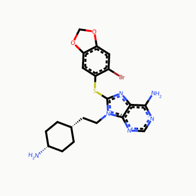 Nc1ncnc2c1nc(Sc1cc3c(cc1Br)OCO3)n2CC[C@H]1CC[C@@H](N)CC1